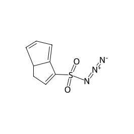 [N-]=[N+]=NS(=O)(=O)C1=CCC2C=CC=C12